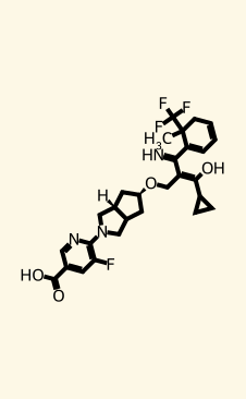 CC1(C(F)(F)F)CC=CC=C1C(=N)/C(CO[C@H]1CC2CN(c3ncc(C(=O)O)cc3F)C[C@@H]2C1)=C(\O)C1CC1